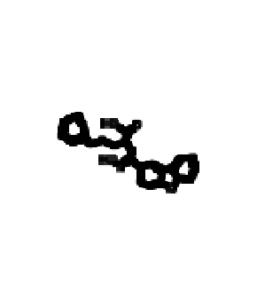 O=C(O)C(CCCc1ccccc1)C/C(=N\O)c1ccc2oc3ccccc3c2c1